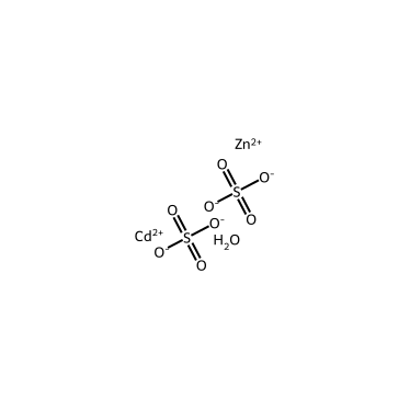 O.O=S(=O)([O-])[O-].O=S(=O)([O-])[O-].[Cd+2].[Zn+2]